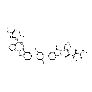 COC(=O)N[C@H](C(=O)N1CC(C)C[C@H]1c1nc2ccc(-c3cc(F)c(-c4ccc5nc([C@@H]6C[C@H](C)CN6C(=O)[C@@H](NC(=O)OC)C(C)C)n(C)c5c4)cc3F)cc2n1C)C(C)C